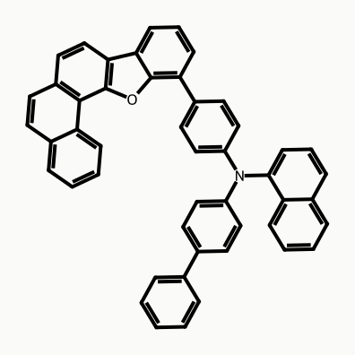 c1ccc(-c2ccc(N(c3ccc(-c4cccc5c4oc4c5ccc5ccc6ccccc6c54)cc3)c3cccc4ccccc34)cc2)cc1